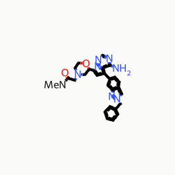 CNC(=O)CN1CCOC(c2cc(-c3ccc4cn(Cc5ccccc5)nc4c3)c3c(N)ncnn23)C1